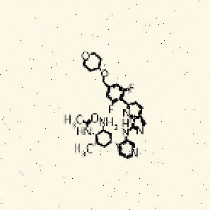 CC(=O)N[C@@H]1[C@H](N)C[C@H](c2ccncc2Nc2ncc3ccc(-c4c(F)cc(COC5CCOCC5)cc4F)nn23)C[C@@H]1C